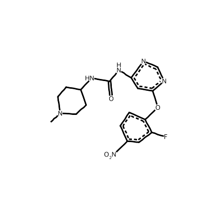 CN1CCC(NC(=O)Nc2cc(Oc3ccc([N+](=O)[O-])cc3F)ncn2)CC1